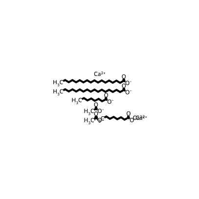 CC(=O)[O-].CC(=O)[O-].CCCCCCCC(=O)[O-].CCCCCCCC(=O)[O-].CCCCCCCCCCCCCCCCCC(=O)[O-].CCCCCCCCCCCCCCCCCC(=O)[O-].[Ca+2].[Ca+2].[Ca+2]